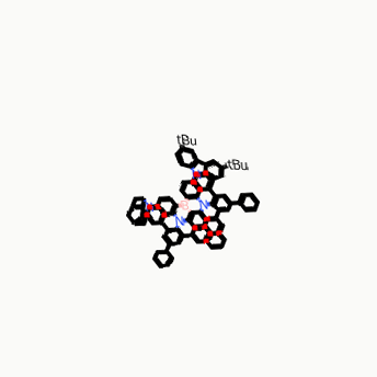 CC(C)(C)c1ccc2c(c1)c1cc(C(C)(C)C)ccc1n2-c1ccc2c(c1)N(c1c(-c3ccccc3)cc(-c3ccccc3)cc1-c1ccccc1)c1cc(-c3ccccc3)cc3c1B2c1ccc(N2C4CC5CC(C4)CC2C5)cc1N3c1c(-c2ccccc2)cc(-c2ccccc2)cc1-c1ccccc1